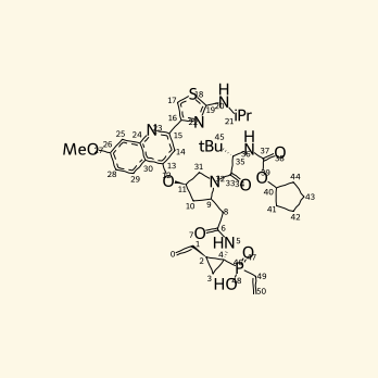 C=C[C@@H]1C[C@]1(NC(=O)CC1C[C@@H](Oc2cc(-c3csc(NC(C)C)n3)nc3cc(OC)ccc23)CN1C(=O)[C@@H](NC(=O)OC1CCCC1)C(C)(C)C)P(=O)(O)C=C